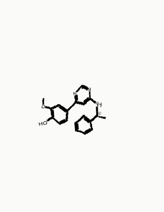 COc1cc(-c2cc(N[C@@H](C)c3ccccc3)ncn2)ccc1O